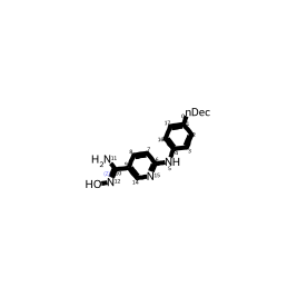 CCCCCCCCCCc1ccc(Nc2ccc(/C(N)=N/O)cn2)cc1